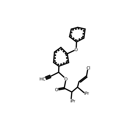 C#CC(OC(=O)C(C(C)C)C(C=CCl)C(C)C)c1cccc(Oc2ccccc2)c1